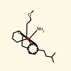 COCCN1C(=O)C2(N=C1N)c1cc(CCC(C)C)ccc1CC21CCCCC1